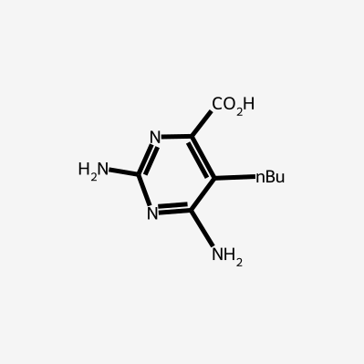 CCCCc1c(N)nc(N)nc1C(=O)O